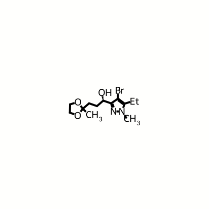 CCc1c(Br)c([C@H](O)CCC2(C)OCCO2)nn1C